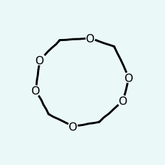 C1OCOOCOCOO1